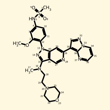 COc1cc(NS(C)(=O)=O)ccc1-n1nc(N(C)CCN2CCOCC2)c2cnc(-c3cnn4cccnc34)cc21